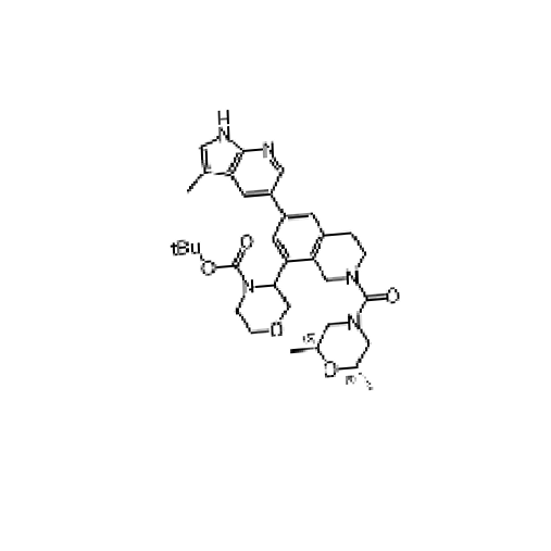 Cc1c[nH]c2ncc(-c3cc4c(c(C5COCCN5C(=O)OC(C)(C)C)c3)CN(C(=O)N3C[C@H](C)O[C@@H](C)C3)CC4)cc12